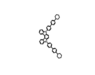 c1ccc2c(c1)c1c3c4ccccc4n(-c4ccc(-c5ccc(C6CCCCC6)cc5)cc4)c3ccc1n2-c1ccc(-c2ccc(C3CCCCC3)cc2)cc1